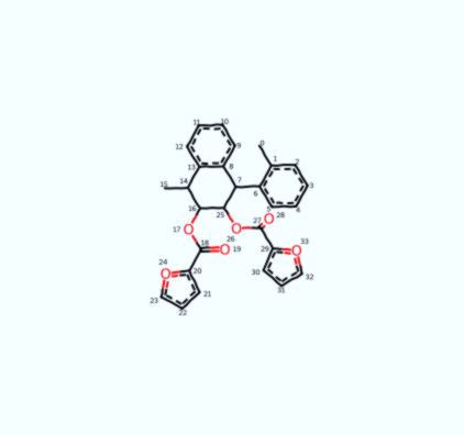 Cc1ccccc1C1c2ccccc2C(C)C(OC(=O)c2ccco2)C1OC(=O)c1ccco1